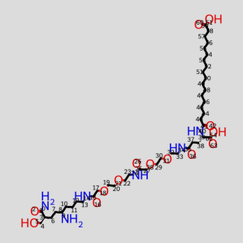 NC(=O)[C@H](CO)CC[C@@H](N)CCCCNC(=O)COCCOCCNC(=O)COCCOCCNC(=O)CC[C@H](NC(=O)CCCCCCCCCCCCCCCCC(=O)O)C(=O)O